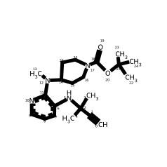 C#CC(C)(C)Nc1cccnc1N(C)C1CCN(C(=O)OC(C)(C)C)CC1